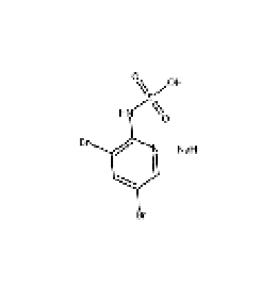 O=S(=O)(O)Nc1ncc(Br)cc1Br.[NaH]